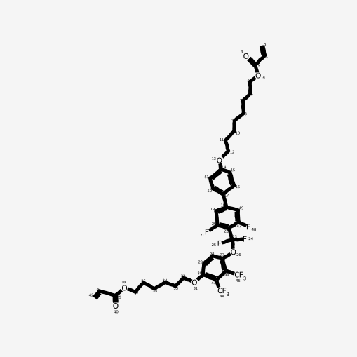 C=CC(=O)OCCCCCCCCOc1ccc(-c2cc(F)c(C(F)(F)Oc3ccc(OCCCCCCOC(=O)C=C)c(C(F)(F)F)c3C(F)(F)F)c(F)c2)cc1